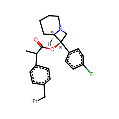 CC(C)Cc1ccc(C(C)C(=O)O[C@]2(c3ccc(F)cc3)CN3CCCC[C@@H]32)cc1